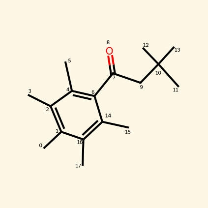 Cc1c(C)c(C)c(C(=O)CC(C)(C)C)c(C)c1C